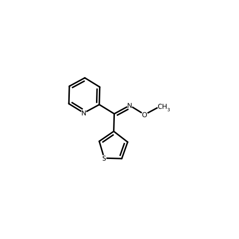 CON=C(c1ccsc1)c1ccccn1